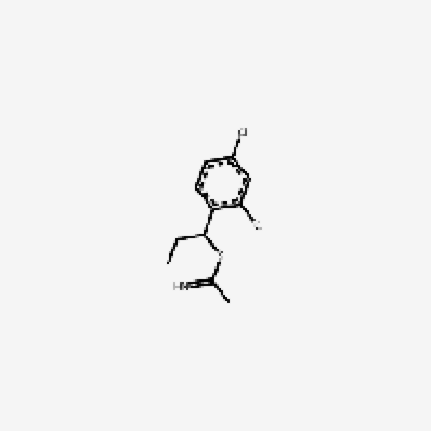 CCC(SC(C)=N)c1ccc(Cl)cc1Cl